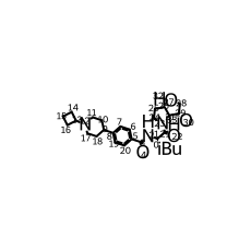 CC[C@H](C)C(NC(=O)c1ccc(C2CCN(C3CCC3)CC2)cc1)C(=O)N1CC[C@H]2OCC(=O)[C@H]21